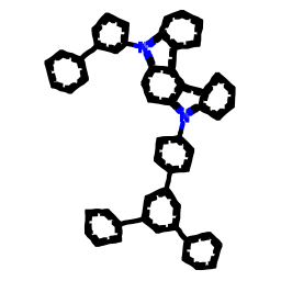 c1ccc(-c2cc(-c3ccccc3)cc(-c3ccc(-n4c5ccccc5c5c6c7ccccc7n(-c7cccc(-c8ccccc8)c7)c6ccc54)cc3)c2)cc1